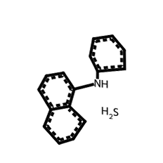 S.c1ccc(Nc2cccc3ccccc23)cc1